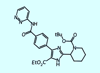 CCOC(=O)c1[nH]c(C2CCCCN2C(=O)OC(C)(C)C)nc1-c1ccc(C(=O)Nc2cccnn2)cc1